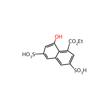 CCOC(=O)c1cc(S(=O)(=O)O)cc2cc(S(=O)(=O)O)cc(O)c12